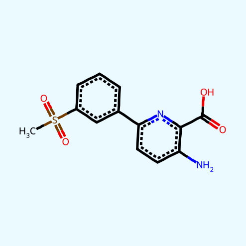 CS(=O)(=O)c1cccc(-c2ccc(N)c(C(=O)O)n2)c1